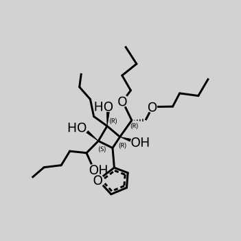 CCCCOC[C@@H](OCCCC)[C@]1(O)C(c2ccco2)[C@](O)(C(O)CCCC)[C@]1(O)CCCC